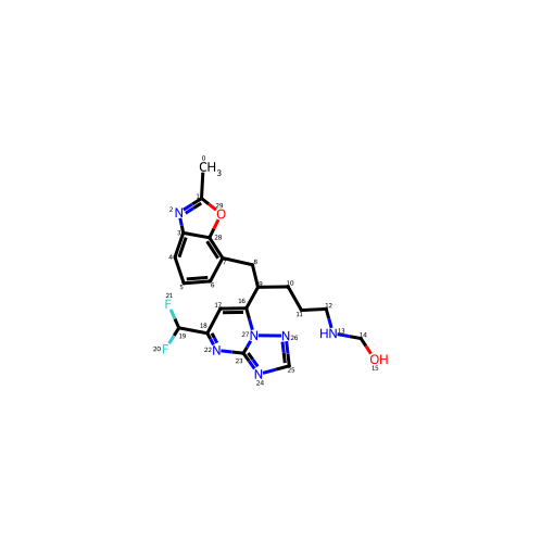 Cc1nc2cccc(CC(CCCNCO)c3cc(C(F)F)nc4ncnn34)c2o1